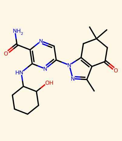 Cc1nn(-c2cnc(C(N)=O)c(NC3CCCCC3O)n2)c2c1C(=O)CC(C)(C)C2